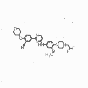 COc1cc(Nc2ccnc(-c3ccc(OC4CCOCC4)c(C#N)c3)n2)ccc1N1CCN(CC(F)F)CC1